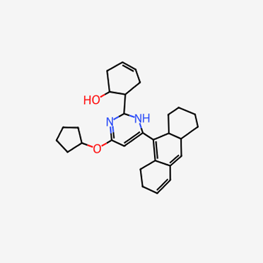 OC1CC=CCC1C1N=C(OC2CCCC2)C=C(C2=C3CCC=CC3=CC3CCCCC23)N1